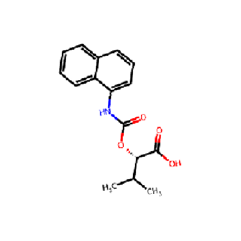 CC(C)[C@H](OC(=O)Nc1cccc2ccccc12)C(=O)O